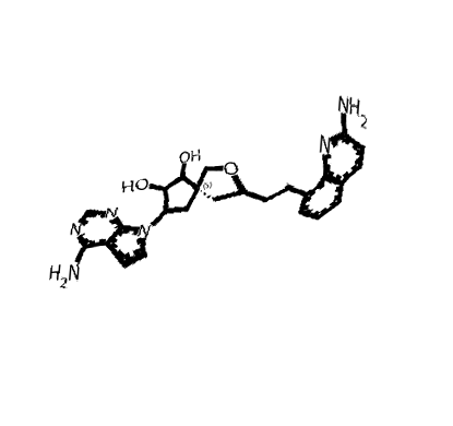 Nc1ccc2cccc(CCC3C[C@]4(CO3)CC(n3ccc5c(N)ncnc53)C(O)C4O)c2n1